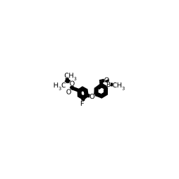 CB1OCc2cc(Oc3ccc(C(=O)OC(C)C)cc3F)ccc21